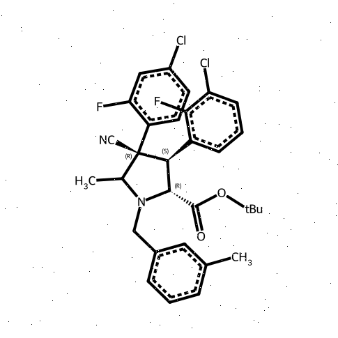 Cc1cccc(CN2C(C)[C@](C#N)(c3ccc(Cl)cc3F)[C@@H](c3cccc(Cl)c3F)[C@@H]2C(=O)OC(C)(C)C)c1